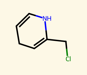 ClCC1=CCC=CN1